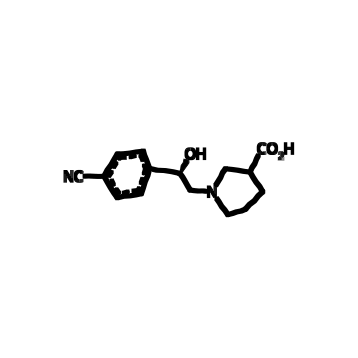 N#Cc1ccc([C@@H](O)CN2CCCC(C(=O)O)C2)cc1